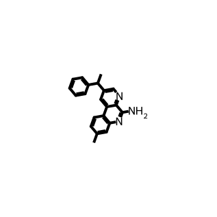 Cc1ccc2c(c1)nc(N)c1ncc(C(C)c3ccccc3)cc12